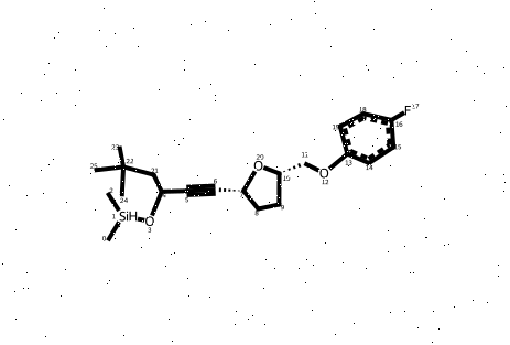 C[SiH](C)OC(C#C[C@H]1CC[C@@H](COc2ccc(F)cc2)O1)CC(C)(C)C